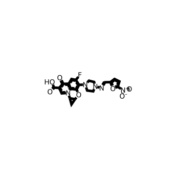 O=C(O)c1cn2c3c(c(N4CCN(/N=C/c5ccc([N+](=O)[O-])o5)CC4)c(F)cc3c1=O)OC1CC12